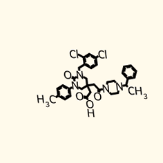 Cc1ccc(N2CC(CC(=O)O)(CC(=O)N3CCN(C(C)c4ccccc4)CC3)CN(Cc3ccc(Cl)cc3Cl)C2=O)cc1